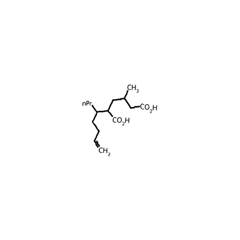 C=CCCC(CCC)C(CC(C)CC(=O)O)C(=O)O